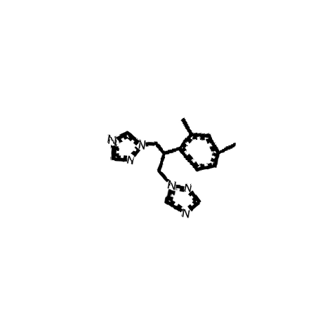 Cc1ccc(C(Cn2cncn2)Cn2cncn2)c(C)c1